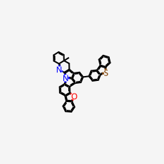 CC12C=CC=CC1=Nc1c(c3cc(-c4ccc5sc6ccccc6c5c4)cc4c5c6oc7ccccc7c6ccc5n1c34)C2